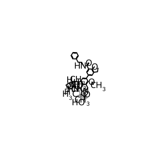 COc1c(CN2O[C@@H](CO)[C@H](C(C)C)[C@H]2C(=O)N[C@@H]2C[C@H]3C[C@@H]([C@@H]2C)C3(C)C)cccc1-c1cc2c(c(C(=O)NCCc3ccccc3)c1)OCC2